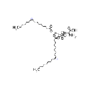 CCCCCC/C=C\CCCCCCCC(=O)OC[C@H](COP(=O)(O)OC[C@H](N)C(=O)O)OC(=O)CCCCCCC/C=C\CCCCCCCC